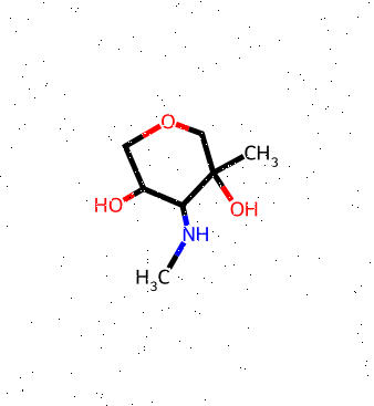 CNC1C(O)COCC1(C)O